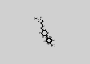 C=CCCCC1CCC(c2ccc(CC)cc2)CC1